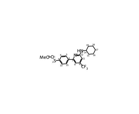 COOSc1ccc(-c2cc(C(F)(F)F)cc(NC3CCCCC3)n2)cc1